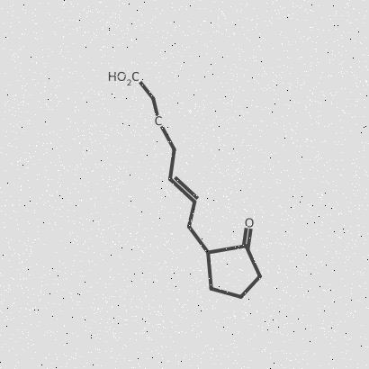 O=C(O)CCCC=CCC1CCCC1=O